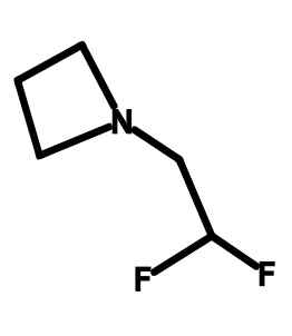 FC(F)CN1CCC1